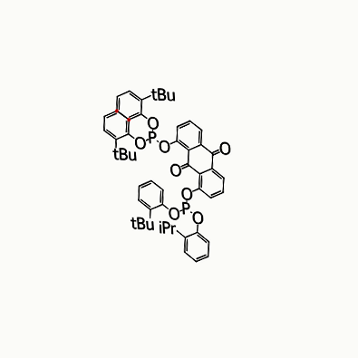 CC(C)c1ccccc1OP(Oc1ccccc1C(C)(C)C)Oc1cccc2c1C(=O)c1c(OP(Oc3ccccc3C(C)(C)C)Oc3ccccc3C(C)(C)C)cccc1C2=O